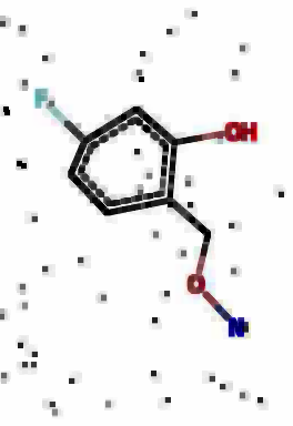 [N]OCc1ccc(F)cc1O